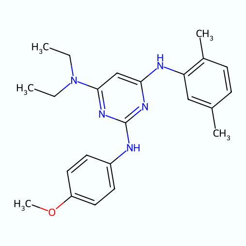 CCN(CC)c1cc(Nc2cc(C)ccc2C)nc(Nc2ccc(OC)cc2)n1